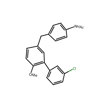 COc1ccc(Cc2ccc(NC(C)=O)cc2)cc1-c1cccc(Cl)c1